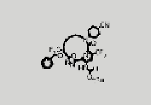 CC(C)(C)OC(=O)Nc1cc(C(F)(F)F)c2nc1-c1nnc(o1)[C@@](OCc1ccccc1)(C(F)(F)F)CCCCCN([C@H]1CC[C@H](C#N)CC1)C2=O